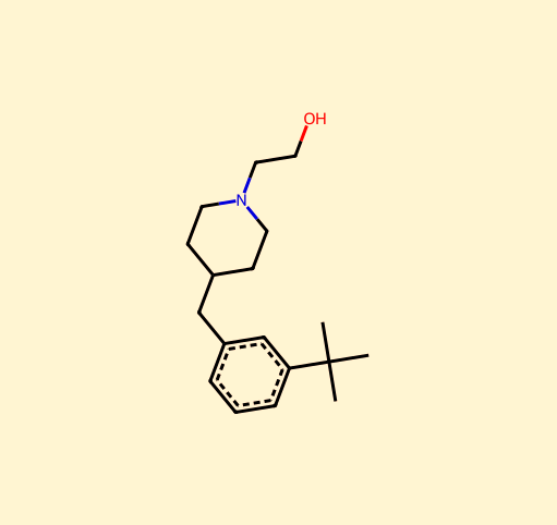 CC(C)(C)c1cccc(CC2CCN(CCO)CC2)c1